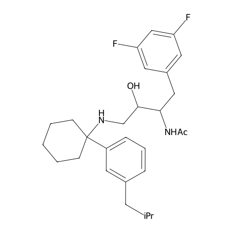 CC(=O)NC(Cc1cc(F)cc(F)c1)C(O)CNC1(c2cccc(CC(C)C)c2)CCCCC1